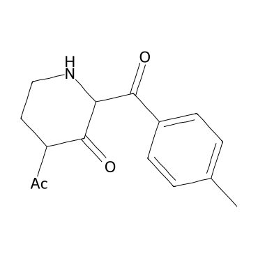 CC(=O)C1CCNC(C(=O)c2ccc(C)cc2)C1=O